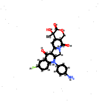 CC[C@@]1(O)C(=O)OCc2c1cc1n(c2=O)Cc2c-1c(=O)c1cc(F)ccc1n2-c1ccc(N)cc1